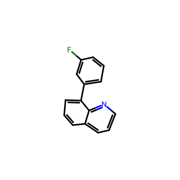 Fc1cccc(-c2cccc3cccnc23)c1